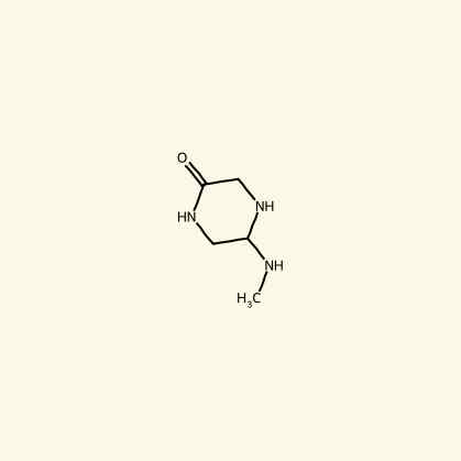 CNC1CNC(=O)CN1